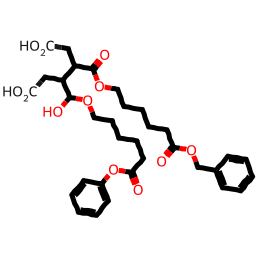 O=C(O)CC(C(=O)OCCCCCC(=O)OCc1ccccc1)C(CC(=O)O)C(O)OCCCCCC(=O)Oc1ccccc1